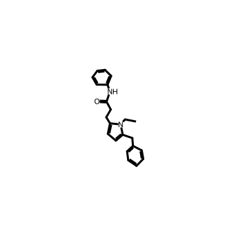 CCn1c(CCC(=O)Nc2ccccc2)ccc1Cc1ccccc1